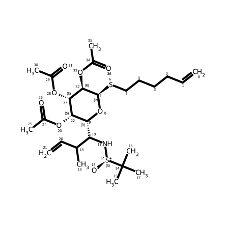 C=CCCCCS[C@H]1O[C@H](C(N[S@+]([O-])C(C)(C)C)C(C)C=C)[C@H](OC(C)=O)[C@H](OC(C)=O)[C@H]1OC(C)=O